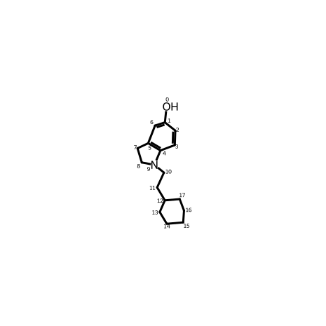 Oc1ccc2c(c1)CCN2CCC1CCCCC1